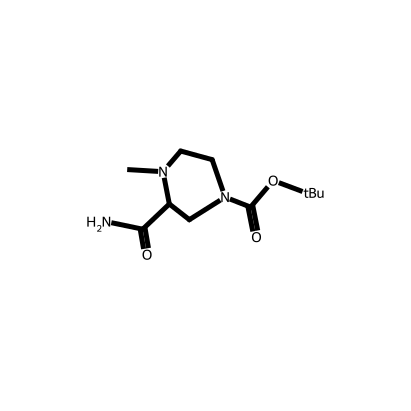 CN1CCN(C(=O)OC(C)(C)C)CC1C(N)=O